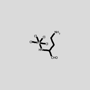 NCCC(C=O)[NH][Pt]([Cl])([Cl])([Cl])[Cl]